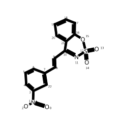 O=[N+]([O-])c1cccc(C=CC2=NS(=O)(=O)Oc3ccccc32)c1